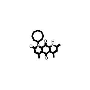 C=C1C=C(C)C2=C(N1)C(=O)c1c(c(C)cc(=O)n1C1CCCCCCC1)C2=O